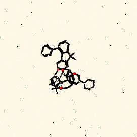 CC1(C)c2cc(N(c3ccc(C4CCCCC4)cc3)c3cc4ccc3CCc3ccc(c(C5OC(C)(C)C(C)(C)O5)c3)CC4)ccc2-c2c(-c3ccccc3)cccc21